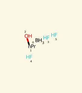 B.CCCO.F.F.F